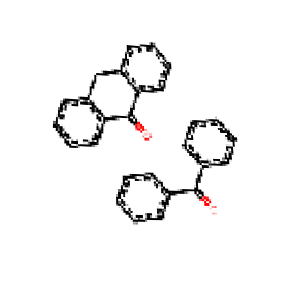 O=C(c1ccccc1)c1ccccc1.O=C1c2ccccc2Cc2ccccc21